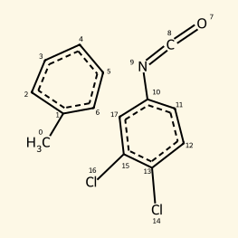 Cc1ccccc1.O=C=Nc1ccc(Cl)c(Cl)c1